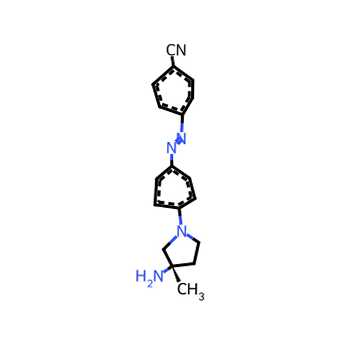 C[C@]1(N)CCN(c2ccc(/N=N/c3ccc(C#N)cc3)cc2)C1